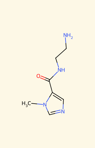 Cn1cncc1C(=O)NCCN